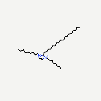 CCCCCCCCCCCCCCCCCCc1n(CCCCCCCCC)cc[n+]1CCCCCCCC